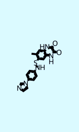 Cc1cc2[nH]c(=O)c(=O)[nH]c2cc1SNc1ccc(-n2ccnc2)cc1